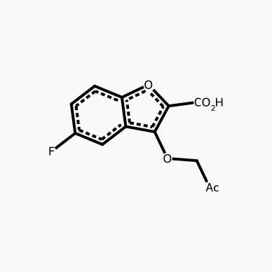 CC(=O)COc1c(C(=O)O)oc2ccc(F)cc12